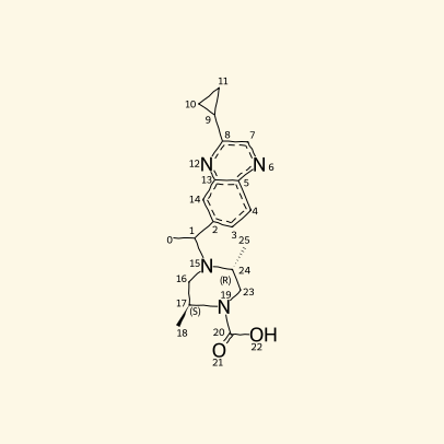 CC(c1ccc2ncc(C3CC3)nc2c1)N1C[C@H](C)N(C(=O)O)C[C@H]1C